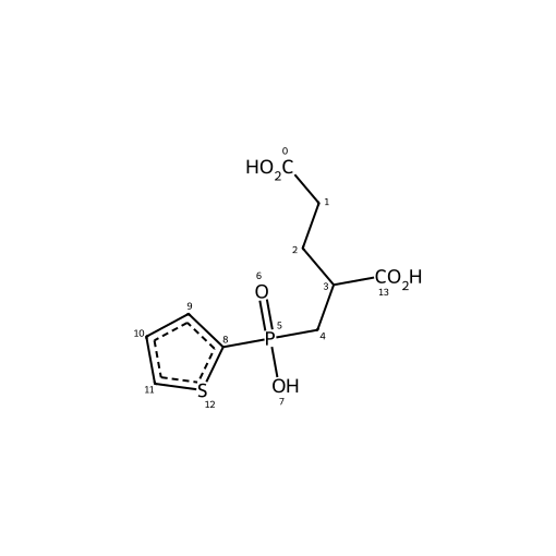 O=C(O)CCC(CP(=O)(O)c1cccs1)C(=O)O